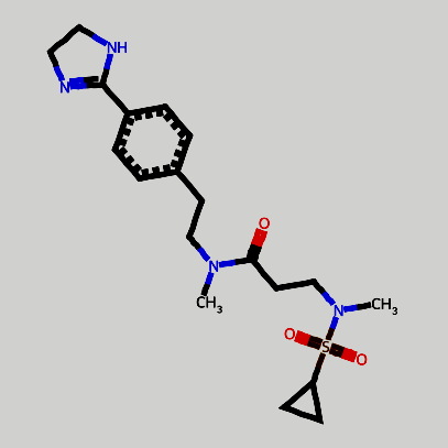 CN(CCc1ccc(C2=NCCN2)cc1)C(=O)CCN(C)S(=O)(=O)C1CC1